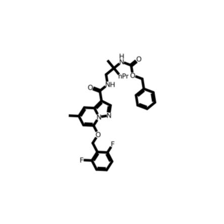 CCCC(C)(CNC(=O)c1cnn2c(OCc3c(F)cccc3F)cc(C)cc12)NC(=O)OCc1ccccc1